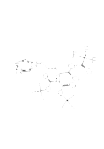 CC(C)(C)OC(=O)N(C(=O)OC(C)(C)C)[C@@H](CCCn1ccnc1)C(=O)OC(=O)C(F)(F)F